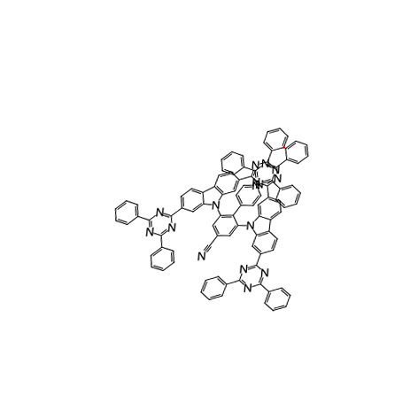 N#Cc1cc(-n2c3cc(-c4nc(-c5ccccc5)nc(-c5ccccc5)n4)ccc3c3ccc(-c4nc(-c5ccccc5)nc(-c5ccccc5)n4)cc32)c(-c2ccncc2)c(-n2c3cc(-c4nc(-c5ccccc5)nc(-c5ccccc5)n4)ccc3c3ccc(-c4nc(-c5ccccc5)nc(-c5ccccc5)n4)cc32)c1